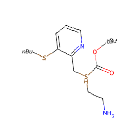 CCCCSc1cccnc1C[SH](CCN)C(=O)OC(C)(C)C